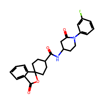 O=C1OC2(CCC(C(=O)NC3CCN(c4cccc(F)c4)C(=O)C3)CC2)c2ccccc21